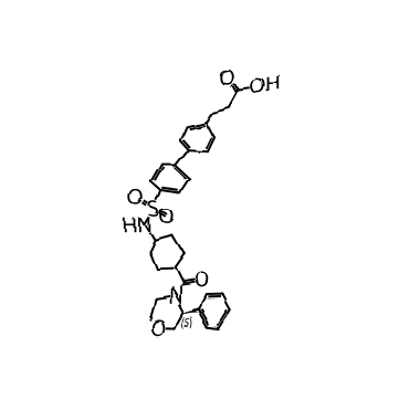 O=C(O)CCc1ccc(-c2ccc(S(=O)(=O)NC3CCC(C(=O)N4CCOC[C@@H]4c4ccccc4)CC3)cc2)cc1